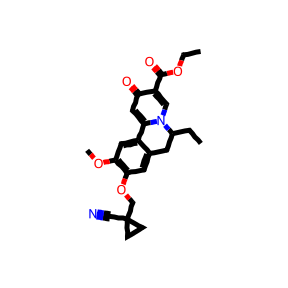 CCOC(=O)c1cn2c(cc1=O)-c1cc(OC)c(OCC3(C#N)CC3)cc1CC2CC